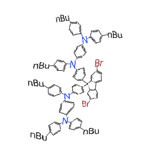 CCCCc1ccc(N(c2ccc(CCCC)cc2)c2ccc(N(c3ccc(CCCC)cc3)c3ccc(C4(c5ccc(N(c6ccc(CCCC)cc6)c6ccc(N(c7ccc(CCCC)cc7)c7ccc(CCCC)cc7)cc6)cc5)c5cc(Br)ccc5-c5ccc(Br)cc54)cc3)cc2)cc1